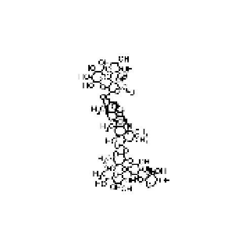 CC(=O)OC1C(C)OC(OC(=O)[C@@H]2CC(C)(C)C[C@@H]3C2[C@H](O)C[C@]2(C)C3C=C[C@@H]3[C@@]4(C)CC[C@H](OC5OC(OC=O)C(O)C(OC6OCC(O)C(O)C6O)C5OC5OC(CO)C(O)C(O)C5O)[C@@](C)(C=O)[C@@H]4CC[C@]32C)C(OC2OC(C)C(OC3OCC(O)C(O)C3O)C(O)C2O)C1OC1OC(CO)C(O)C(O)C1O